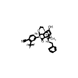 C[C@@]12C[C@H](O)[C@]3(CCO[C@H]4[C@@H]3[C@]1(C(=O)NCc1ccccc1)C(=O)N4c1ccc(C#N)c(C(F)(F)F)c1)O2